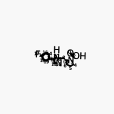 O=C(O)N1CCC[C@H]1Cc1ncc(-c2ccc(F)cc2)[nH]1